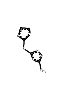 Cc1nnc(Sc2nccs2)s1